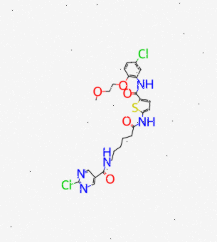 COCCOc1ccc(Cl)cc1NC(=O)c1ccc(NC(=O)CCCCCNC(=O)c2cnc(Cl)nc2)s1